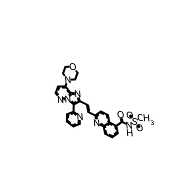 CS(=O)(=O)NC(=O)c1cccc2nc(C=Cc3nc4c(N5CCOCC5)ccnn4c3-c3ccccn3)ccc12